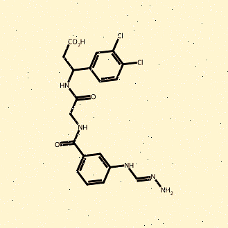 NN=CNc1cccc(C(=O)NCC(=O)NC(CC(=O)O)c2ccc(Cl)c(Cl)c2)c1